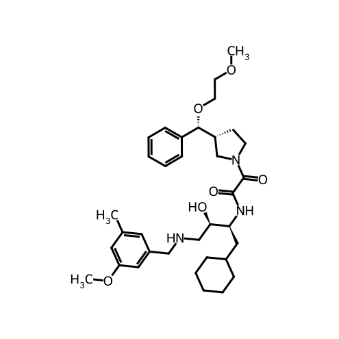 COCCO[C@@H](c1ccccc1)[C@@H]1CCN(C(=O)C(=O)N[C@@H](CC2CCCCC2)[C@H](O)CNCc2cc(C)cc(OC)c2)C1